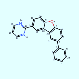 [c]1ccc(-c2ccc3oc4ccc(-c5ncccn5)cc4c3c2)cc1